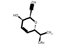 C#C[C@H]1O[C@H]([C@@H](C)OC(C)=O)C=C[C@H]1O